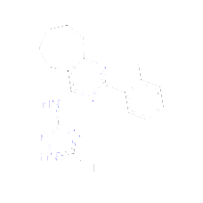 Cc1nc(Nc2nc(-c3ccccc3C(F)(F)F)nc3c2CCCCC3)n[nH]1